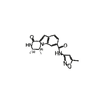 Cc1cc(NC(=O)c2ccc3cc4n(c3c2)[C@H](C)[C@H](C)NC4=O)no1